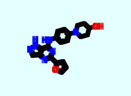 OC1CCN(c2ccc(Nc3nc(-c4ccco4)nc4cn[nH]c34)cc2)CC1